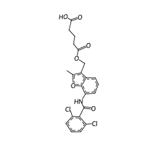 Cc1oc2c(NC(=O)c3c(Cl)cccc3Cl)cccc2c1COC(=O)CCCC(=O)O